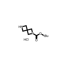 CC(C)(C)OC(=O)N1CC2(CNC2)C1.Cl